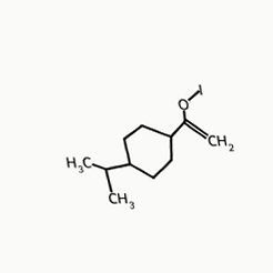 C=C(OI)C1CCC(C(C)C)CC1